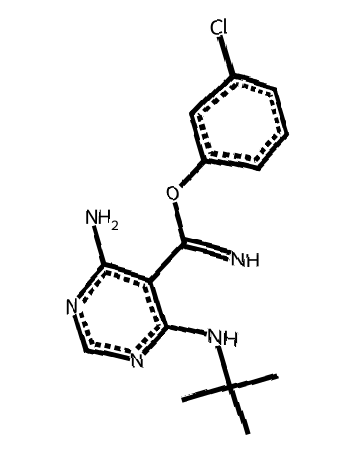 CC(C)(C)Nc1ncnc(N)c1C(=N)Oc1cccc(Cl)c1